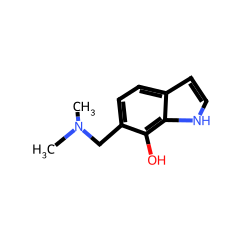 CN(C)Cc1ccc2cc[nH]c2c1O